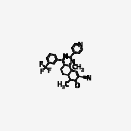 CC1C(=O)C(C#N)=C[C@@]2(C)c3nc(-c4ccncc4)nc(-c4cccc(C(F)(F)F)c4)c3CCC12